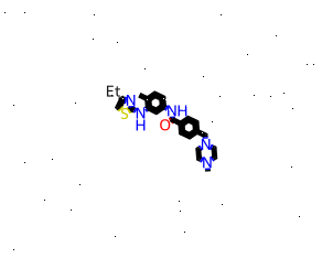 CCc1csc(Nc2cc(NC(=O)c3ccc(CN4CCN(C)CC4)cc3)ccc2C)n1